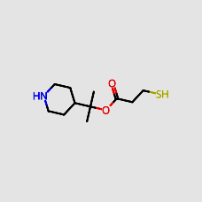 CC(C)(OC(=O)CCS)C1CCNCC1